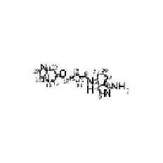 Nc1nccc2c(NCC34CC(COc5ccn6ccnc6c5)(C3)C4)cccc12